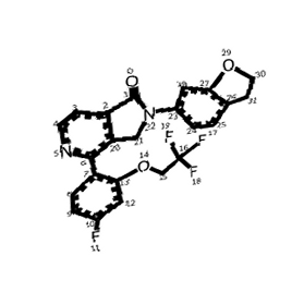 O=C1c2ccnc(-c3ccc(F)cc3OCC(F)(F)F)c2CN1c1ccc2c(c1)OCC2